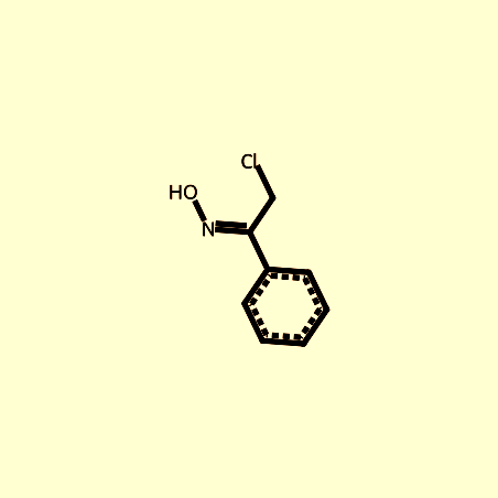 ON=C(CCl)c1ccccc1